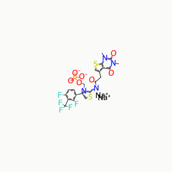 Cn1c(=O)c2c(CC(=O)N=c3scc(-c4ccc(F)c(C(F)(F)F)c4F)n3COP(=O)([O-])[O-])csc2n(C)c1=O.[Na+].[Na+]